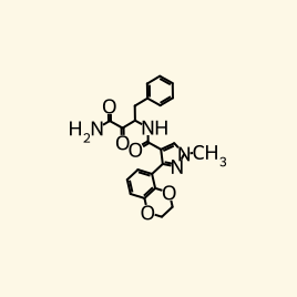 Cn1cc(C(=O)NC(Cc2ccccc2)C(=O)C(N)=O)c(-c2cccc3c2OCCO3)n1